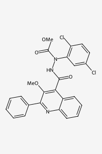 COC(=O)N(NC(=O)c1c(OC)c(-c2ccccc2)nc2ccccc12)c1cc(Cl)ccc1Cl